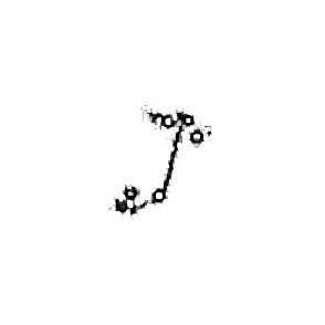 CO[C@@H]1COCC[C@@H]1N[C@@H]1CC[C@](CCCNC(=O)CCOCCOCCOC2CCC(OCCNC(=O)[C@H]3CC(=O)N(C)[C@@H]3c3cccnc3)CC2)(C(=O)N2CCc3ncc(C(F)(F)F)cc3C2)C1